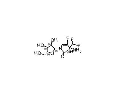 NC1(C(F)F)NC(=O)N([C@@H]2O[C@H](CO)[C@@H](O)[C@H]2O)C=C1F